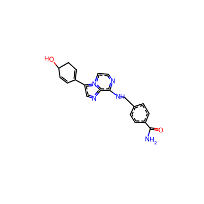 NC(=O)c1ccc(CNc2nccn3c(C4=CCC(O)C=C4)cnc23)cc1